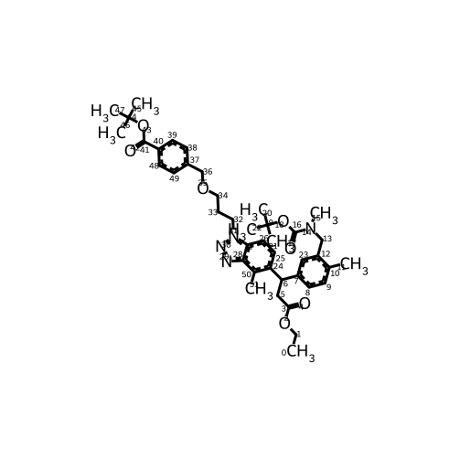 CCOC(=O)CC(c1ccc(C)c(CN(C)C(=O)OC(C)(C)C)c1)c1ccc2c(nnn2CCCOCc2ccc(C(=O)OC(C)(C)C)cc2)c1C